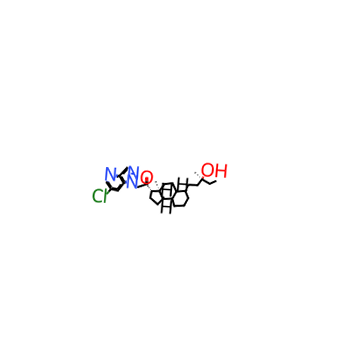 CC[C@](C)(O)CC[C@H]1CCC[C@@H]2[C@@H]1CC[C@]1(C)[C@@H](C(=O)Cn3ncc4ncc(Cl)cc43)CC[C@@H]21